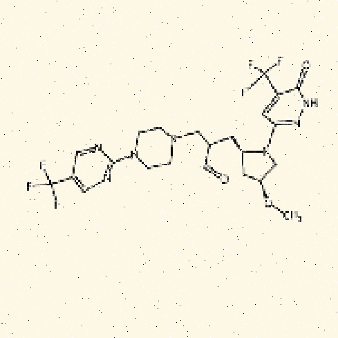 CO[C@H]1C[C@@H](CC(C=O)CN2CCN(c3ncc(C(F)(F)F)cn3)CC2)N(c2cc(C(F)(F)F)c(=O)[nH]n2)C1